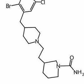 NC(=O)N1CCCC(CCN2CCC(Cc3cc(Cl)ccc3Br)CC2)C1